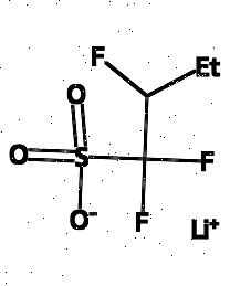 CCC(F)C(F)(F)S(=O)(=O)[O-].[Li+]